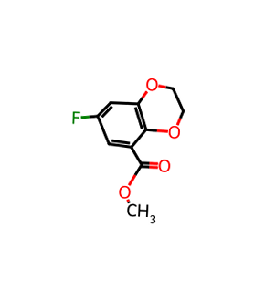 COC(=O)c1cc(F)cc2c1OCCO2